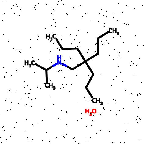 CCCC(CCC)(CCC)CNC(C)C.O